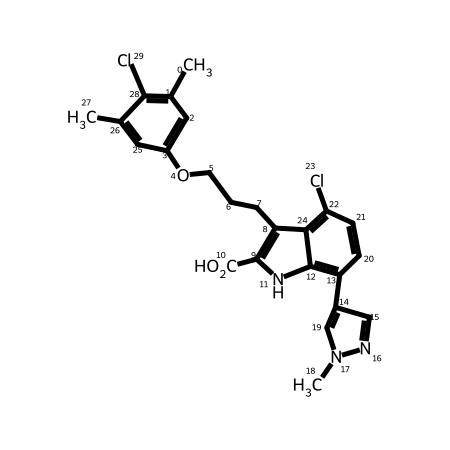 Cc1cc(OCCCc2c(C(=O)O)[nH]c3c(-c4cnn(C)c4)ccc(Cl)c23)cc(C)c1Cl